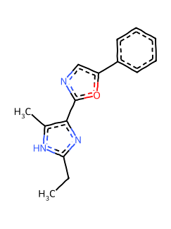 CCc1nc(-c2ncc(-c3ccccc3)o2)c(C)[nH]1